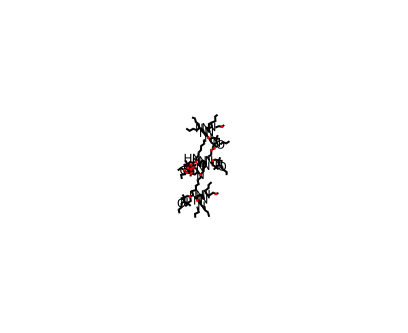 CCCCN(CCCC)c1nc(N(CCCC)CCCC)nc(N(CCCCCCNN(c2nc(CN(CCCCCCN(c3nc(N(CCCC)CCCC)nc(N(CCCC)CCCC)n3)C3CC(C)(C)N(OCCC)C(C)(C)C3)C3CC(C)(C)N(OCCC)C(C)(C)C3)nc(N(CCCC)C3CC(C)(C)N(OCCC)C(C)(C)C3)n2)C2CC(C)(C)N(OCCC)C(C)(C)C2)C2CC(C)(C)N(OCCC)C(C)(C)C2)n1